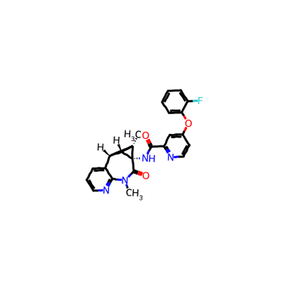 CN1C(=O)[C@@]2(NC(=O)c3cc(Oc4ccccc4F)ccn3)[C@@H]3[C@H](c4cccnc41)[C@]32C